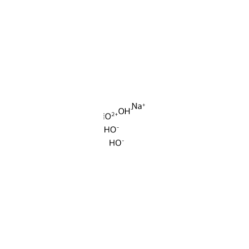 [Na+].[O+2].[OH-].[OH-].[OH-]